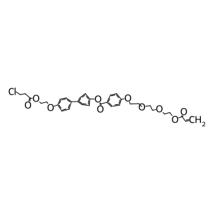 C=CC(=O)OCCOCCOCCOc1ccc(C(=O)Oc2ccc(-c3ccc(OCCOC(=O)CCCl)cc3)cc2)cc1